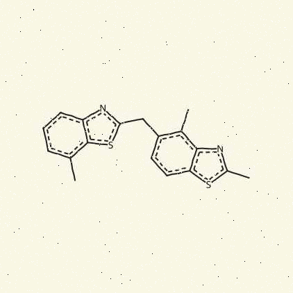 Cc1nc2c(C)c(Cc3nc4cccc(C)c4s3)ccc2s1